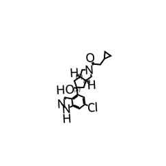 O=C(CC1CC1)N1C[C@@H]2C[C@](O)(c3cc(Cl)cc4[nH]ncc34)C[C@@H]2C1